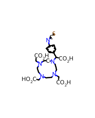 O=C(O)CN1CCN(CC(=O)O)CCN(C(C(=O)O)c2ccc(N=C=S)cc2)CCN(CC(=O)O)CC1